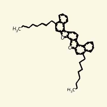 CCCCCCCCc1cc2oc3c(ccc4c3oc3cc(CCCCCCCC)c5ccccc5c34)c2c2ccccc12